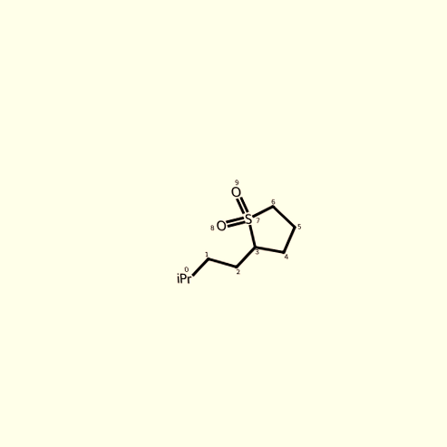 CC(C)CCC1CCCS1(=O)=O